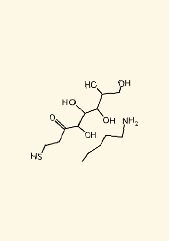 CCCCCN.O=C(CCS)C(O)C(O)C(O)C(O)CO